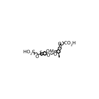 C#Cc1cc2c(cc1OCCCOc1cc3cc(C(=O)CC(C)C(=O)O)sc3cc1OC)CN(C(=O)CC(C)C(=O)O)C2